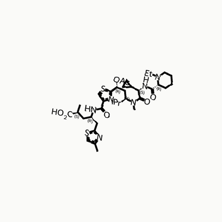 CCN1CCCC[C@@H]1C(=O)N[C@H](C(=O)N(C)[C@H](C[C@@H](OC(C)=O)c1nc(C(=O)N[C@@H](Cc2nc(C)cs2)C[C@H](C)C(=O)O)cs1)C(C)C)C1CC1